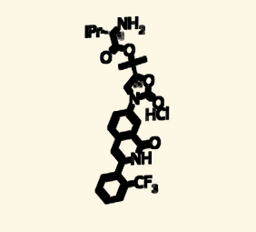 CC(C)[C@H](N)C(=O)OC(C)(C)[C@@H]1CN(c2ccc3cc(-c4ccccc4C(F)(F)F)[nH]c(=O)c3c2)C(=O)O1.Cl